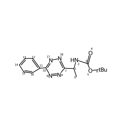 CC(NC(=O)OC(C)(C)C)c1nnc(-c2ccccc2)nn1